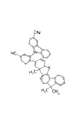 CC1(C)c2ccccc2-c2c1ccc1c2SC2C=CC(c3ccc(C#N)cc3-n3c4ccccc4c4cc(C#N)ccc43)=CC12C